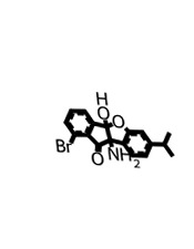 CC(C)c1ccc2c(c1)OC1(O)c3cccc(Br)c3C(=O)C21N